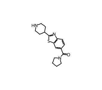 O=C(c1ccc2nc(C3CCNCC3)sc2c1)N1CCCC1